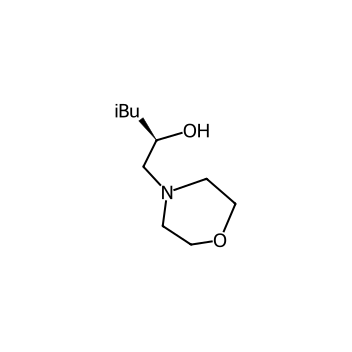 CCC(C)[C@@H](O)CN1CCOCC1